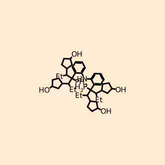 CCC(C1CCC(O)C1)C(P)(c1ccccc1Nc1ccccc1C(P)(C(CC)C1CCC(O)C1)C(CC)C1CCC(O)C1)C(CC)C1CCC(O)C1